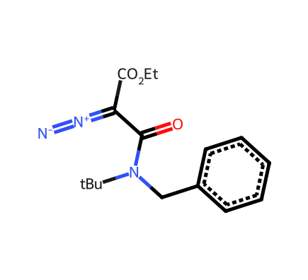 CCOC(=O)C(=[N+]=[N-])C(=O)N(Cc1ccccc1)C(C)(C)C